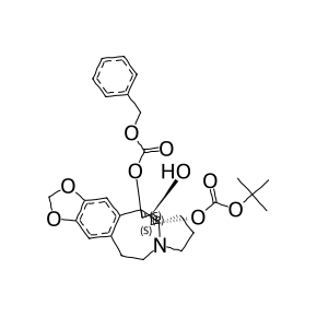 CC(C)(C)OC(=O)O[C@@H]1[C@H](O)C(OC(=O)OCc2ccccc2)=C2c3cc4c(cc3CCN3CCC[C@@]213)OCO4